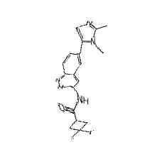 Cc1ncc(-c2ccc3nnc(NC(=O)C4CC(F)(F)C4)cc3c2)n1C